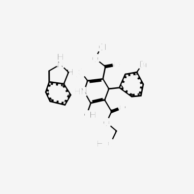 CCOC(=O)C1=C(C)NC(C)=C(C(=O)OC)C1c1cccc(Br)c1.c1ccc2c(c1)CNC2